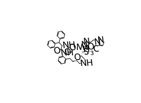 COC(=O)N[C@H](C(=O)Nc1ccccc1CC[C@@H]1CNC[C@@H](CSc2nnc(Cn3nccc3C)o2)O1)C(c1ccccc1)c1ccccc1